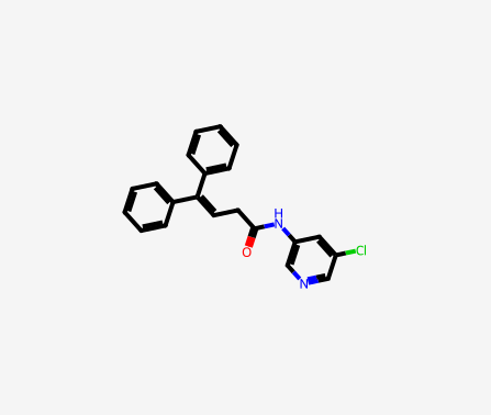 O=C(CC=C(c1ccccc1)c1ccccc1)Nc1cncc(Cl)c1